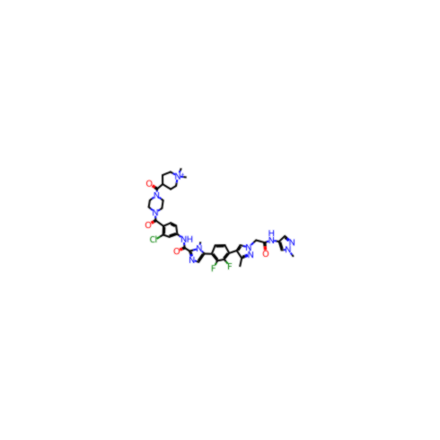 Cc1nn(CC(=O)Nc2cnn(C)c2)cc1-c1ccc(-c2cnc(C(=O)Nc3ccc(C(=O)N4CCN(C(=O)C5CC[N+](C)(C)CC5)CC4)c(Cl)c3)n2C)c(F)c1F